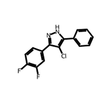 Fc1ccc(-c2n[nH]c(-c3ccccc3)c2Cl)cc1F